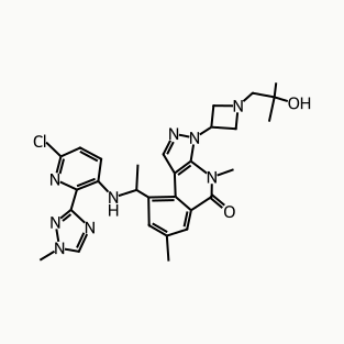 Cc1cc(C(C)Nc2ccc(Cl)nc2-c2ncn(C)n2)c2c(c1)c(=O)n(C)c1c2cnn1C1CN(CC(C)(C)O)C1